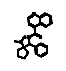 CN(C)C1(C(NC(=O)c2ccnc3ccccc23)c2ccccc2)CCCC1